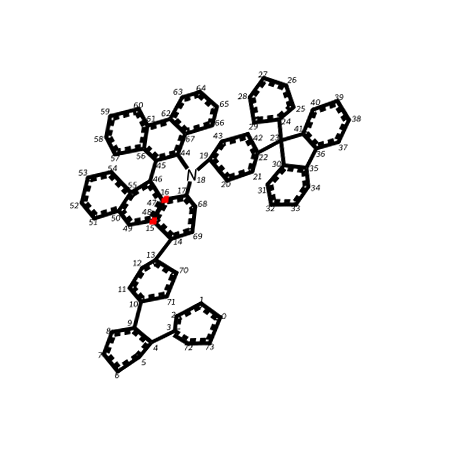 c1ccc(-c2ccccc2-c2ccc(-c3ccc(N(c4ccc(C5(c6ccccc6)c6ccccc6-c6ccccc65)cc4)c4c(-c5cccc6ccccc56)c5ccccc5c5ccccc45)cc3)cc2)cc1